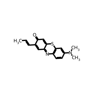 C/C=C/c1cc2nc3ccc(N(C)C)cc3sc-2cc1=O